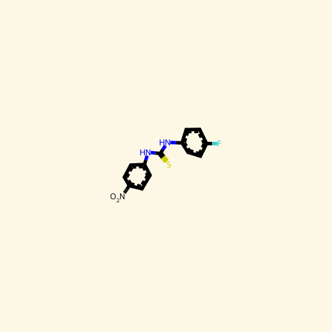 O=[N+]([O-])c1ccc(NC(=S)Nc2ccc(F)cc2)cc1